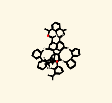 CC(C)c1cccc(C(C)C)c1NC(=O)c1cc2oc3ccccc3c3ccccc3oc3cc4c5c(cc6oc7ccccc7c7ccccc7oc7cc(C=O)c1c1c7c6c5c3c21)C(=O)N(c1c(C(C)C)cccc1C(C)C)C4=O